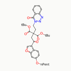 CCCCCOc1ccc2c(C(=O)CC(CCn3nnc4ccccc4c3=O)(C(=O)OC(C)(C)C)C(=O)OC(C)(C)C)coc2c1